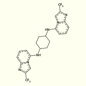 FC(F)(F)c1cn2c(NC3CCC(Nc4cccc5nc(C(F)(F)F)cn45)CC3)cccc2n1